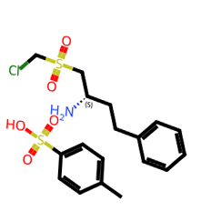 Cc1ccc(S(=O)(=O)O)cc1.N[C@@H](CCc1ccccc1)CS(=O)(=O)CCl